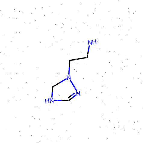 [NH]CCN1CNC=N1